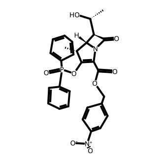 C[C@@H](O)[C@H]1C(=O)N2C(C(=O)OCc3ccc([N+](=O)[O-])cc3)=C(OP(=O)(c3ccccc3)c3ccccc3)[C@H](C)[C@H]12